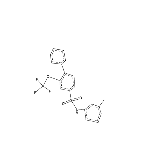 Cc1cccc(NS(=O)(=O)c2ccc(-c3ccccc3)c(OC(F)(F)F)c2)c1